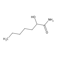 CCCCCC(O)C(N)=O